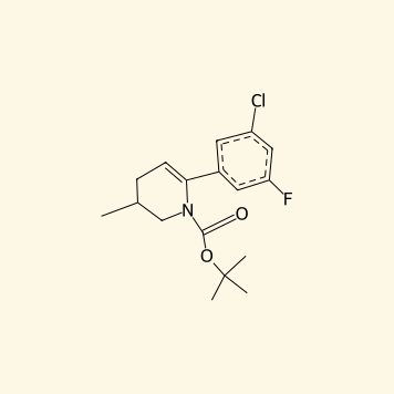 CC1CC=C(c2cc(F)cc(Cl)c2)N(C(=O)OC(C)(C)C)C1